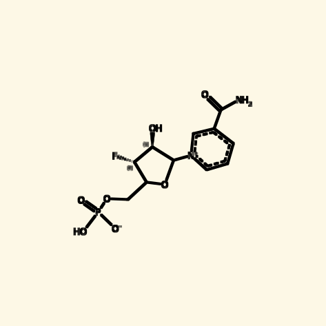 NC(=O)c1ccc[n+](C2OC(COP(=O)([O-])O)[C@H](F)[C@H]2O)c1